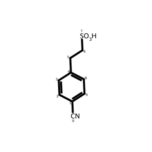 N#Cc1ccc(CCS(=O)(=O)O)cc1